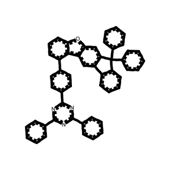 c1ccc(-c2nc(-c3ccccc3)nc(-c3ccc(-c4cccc5oc6cc7c(cc6c45)-c4ccccc4C7(c4ccccc4)c4ccccc4)cc3)n2)cc1